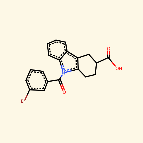 O=C(O)C1CCc2c(c3ccccc3n2C(=O)c2cccc(Br)c2)C1